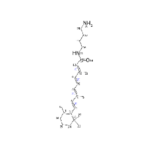 CC1=C(/C=C/C(C)=C/C=C/C(C)=C/C(=O)NCCCCN)C(C)(C)CCC1